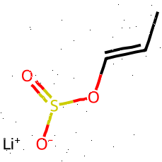 CC=COS(=O)[O-].[Li+]